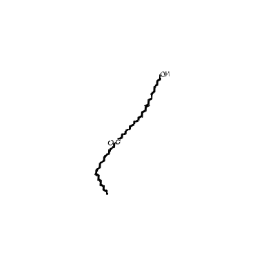 CCCCCCCC/C=C\CCCCCCCC(=O)OCCCCCCCCCCCCCCCCCCCCCCCCCO